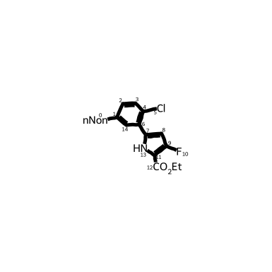 CCCCCCCCCc1ccc(Cl)c(-c2cc(F)c(C(=O)OCC)[nH]2)c1